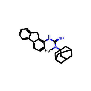 CN(C(=N)Nc1cccc2c1Cc1ccccc1-2)C12CC3CC(CC(C3)C1)C2